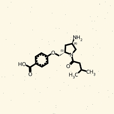 CC(C)CC(=O)N1C[C@H](N)C[C@H]1COc1ccc(C(=O)O)cc1